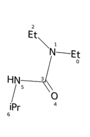 CCN(CC)C(=O)NC(C)C